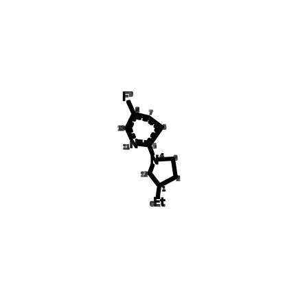 CCC1CCN(c2ccc(F)cn2)C1